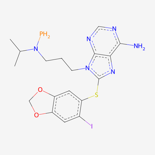 CC(C)N(P)CCCn1c(Sc2cc3c(cc2I)OCO3)nc2c(N)ncnc21